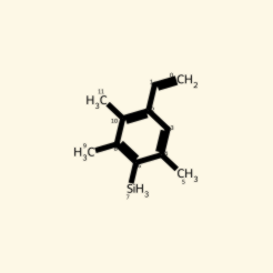 C=Cc1cc(C)c([SiH3])c(C)c1C